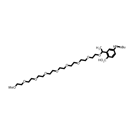 CCCCNc1ccc(C(=O)O)c(C(C)OCCOCCOCCOCCOCCOCCOCCOCCOC)c1